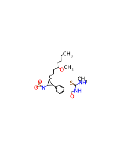 CCCCC(CCCC1C(N=S(=O)=O)C1c1ccccc1)OC.CNC(=S)NC=O